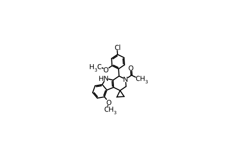 COc1cc(Cl)ccc1C1c2[nH]c3cccc(OC)c3c2C2(CC2)CN1C(C)=O